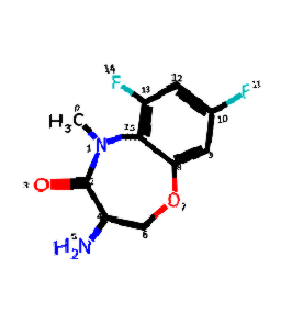 CN1C(=O)C(N)COc2cc(F)cc(F)c21